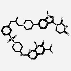 CC(Cc1cccc(S(=O)(=O)N2CCC(Nc3ncc4cc(C(F)F)c(=O)n(C)c4n3)CC2)c1)CN1CCC(c2ccc3c(N4CCC(=O)NC4=O)nn(C)c3c2)CC1